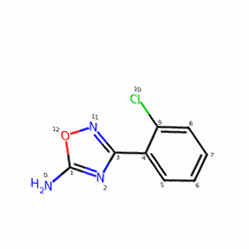 Nc1nc(-c2ccccc2Cl)no1